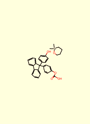 C[Si]1(C)CCCCO1.O=C(O)Oc1ccc(C2(c3ccc(O)cc3)c3ccccc3-c3ccccc32)cc1